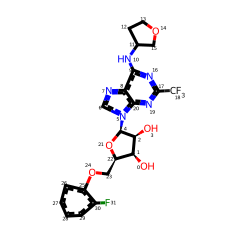 O[C@@H]1[C@H](O)[C@H](n2cnc3c(NC4CCOC4)nc(C(F)(F)F)nc32)O[C@@H]1COc1ccccc1F